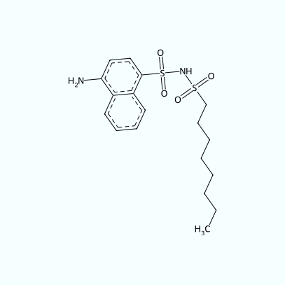 CCCCCCCCS(=O)(=O)NS(=O)(=O)c1ccc(N)c2ccccc12